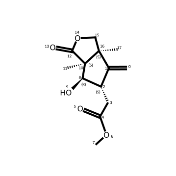 C=C1[C@H](CC(=O)OC)[C@@H](O)[C@@]2(C)C(=O)OC[C@@]12C